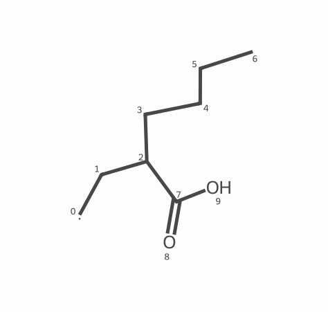 [CH2]CC(CCCC)C(=O)O